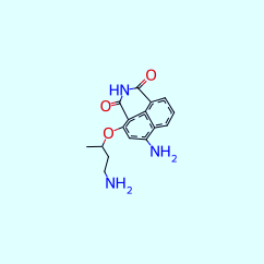 CC(CCN)Oc1cc(N)c2cccc3c2c1C(=O)NC3=O